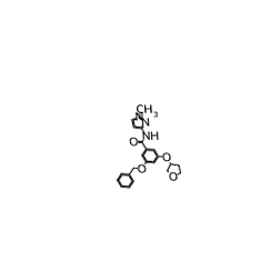 Cn1ccc(NC(=O)c2cc(OCc3ccccc3)cc(O[C@@H]3CCOC3)c2)n1